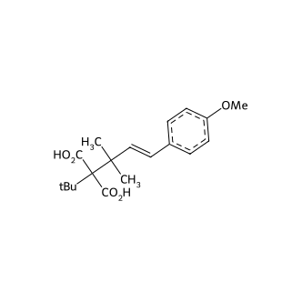 COc1ccc(C=CC(C)(C)C(C(=O)O)(C(=O)O)C(C)(C)C)cc1